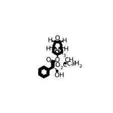 CC(=O)O.CN1[C@@H]2C[C@@H](OC(=O)[C@H](CO)c3ccccc3)C[C@H]1[C@@H]1O[C@@H]12.[CaH2]